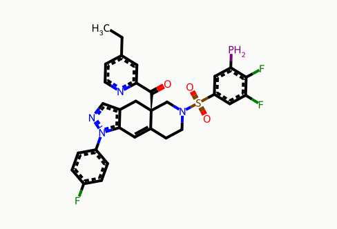 CCc1ccnc(C(=O)[C@]23Cc4cnn(-c5ccc(F)cc5)c4C=C2CCN(S(=O)(=O)c2cc(F)c(F)c(P)c2)C3)c1